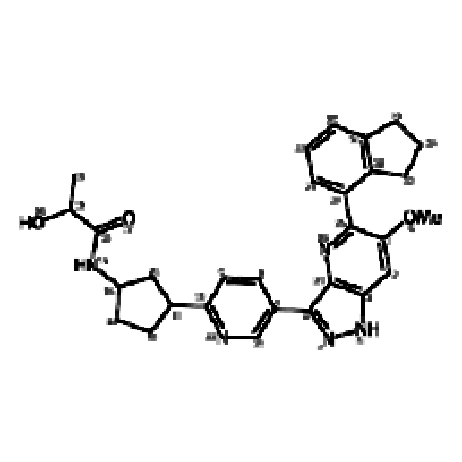 COc1cc2[nH]nc(-c3ccc(C4CCC(NC(=O)C(C)O)C4)nc3)c2nc1-c1cccc2c1CCC2